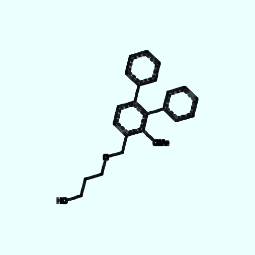 COc1c(COCCCO)ccc(-c2ccccc2)c1-c1ccccc1